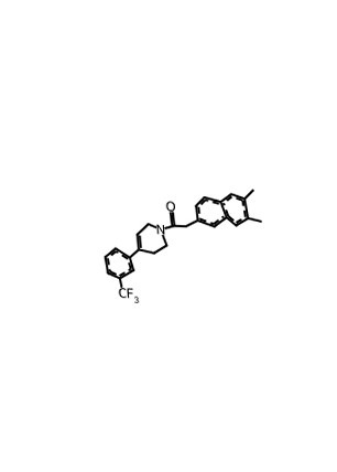 Cc1cc2ccc(CC(=O)N3CC=C(c4cccc(C(F)(F)F)c4)CC3)cc2cc1C